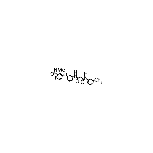 CNC(=O)c1cc(Oc2cccc(NC(=O)CC(=O)Nc3cccc(C(F)(F)F)c3)c2)ccn1